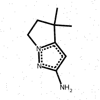 CC1(C)CCn2nc(N)cc21